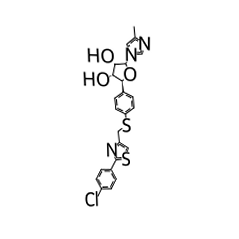 Cc1cn([C@@H]2O[C@@H](c3ccc(SCc4csc(-c5ccc(Cl)cc5)n4)cc3)[C@H](O)[C@@H]2O)cn1